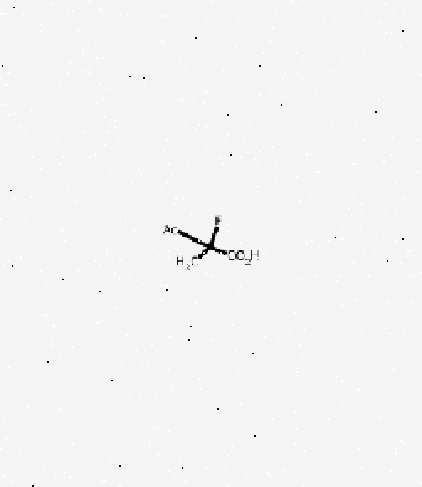 CC(=O)C(C)(F)C(=O)O